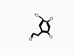 O=[C]Cc1cc(Cl)c(Cl)cc1Cl